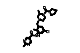 Cc1ncc(C(=O)Nc2cc(Cl)cc(CN3CCN(C(=O)N4CCCC4)C(C)C3)c2C)cn1